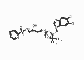 CC(C)(C)[C@@H](Cn1cnc2cc(Cl)c(Cl)cc21)OC(=O)NC[C@@H](O)CNS(=O)(=O)c1ccccn1